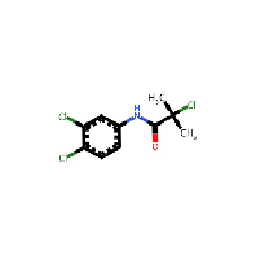 CC(C)(Cl)C(=O)Nc1ccc(Cl)c(Cl)c1